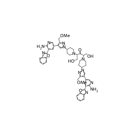 COCc1nn(C2CCN(C(CO)C(=O)C(CO)N3CCC(n4cc(-c5cnc(N)c(-c6nc7ccccc7o6)c5)c(COC)n4)CC3)CC2)cc1-c1cnc(N)c(-c2nc3ccccc3o2)c1